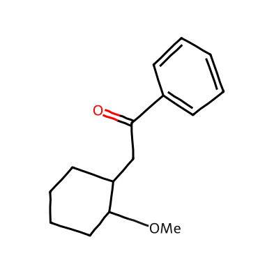 COC1CCCCC1CC(=O)c1ccccc1